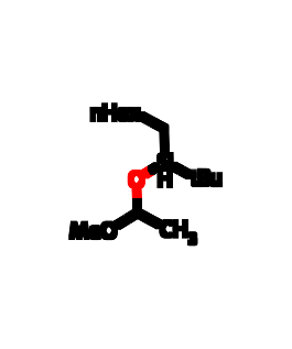 CCCCCCC[SiH](OC(C)OC)C(C)(C)C